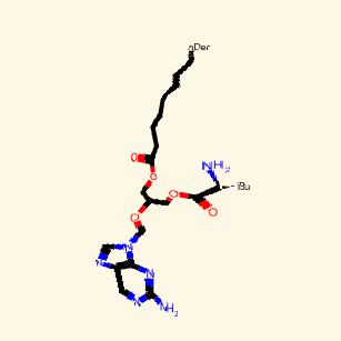 CCCCCCCCCCCCCCCCCC(=O)OCC(COC(=O)[C@@H](N)[C@@H](C)CC)OCn1cnc2cnc(N)nc21